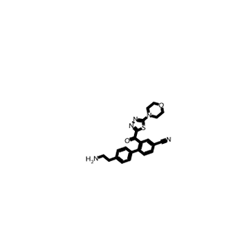 N#Cc1ccc(-c2ccc(CCN)cc2)c(C(=O)c2nnc(N3CCOCC3)s2)c1